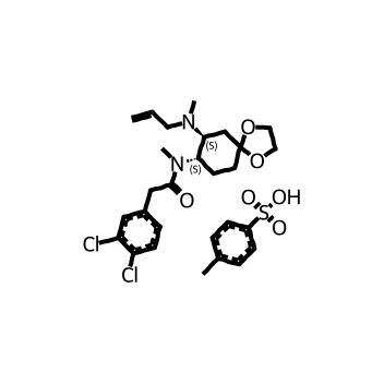 C=CCN(C)[C@H]1CC2(CC[C@@H]1N(C)C(=O)Cc1ccc(Cl)c(Cl)c1)OCCO2.Cc1ccc(S(=O)(=O)O)cc1